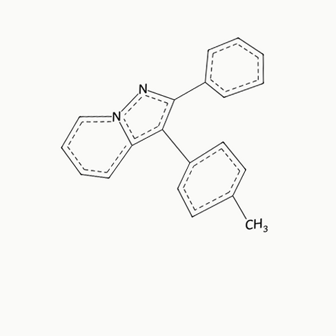 Cc1ccc(-c2c(-c3ccccc3)nn3ccccc23)cc1